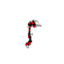 CCOc1cc([C@@H](CS(C)(=O)=O)N2C(=O)c3cccc(NC(=O)CCCCCCCCNCc4ccc(OCc5scc6c5CN(C5CCC(=O)NC5=O)C6=O)cc4)c3C2=O)ccc1OC